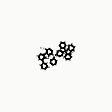 CC(C)(C)c1ccc(N(c2ccccc2)c2ccc(C3(c4ccccc4)c4ccccc4-c4ccccc43)cc2)c2oc3c(-c4ccccc4)cccc3c12